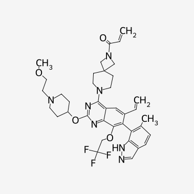 C=CC(=O)N1CC2(CCN(c3nc(OC4CCN(CCOC)CC4)nc4c(OCC(F)(F)F)c(-c5c(C)ccc6cn[nH]c56)c(C=C)cc34)CC2)C1